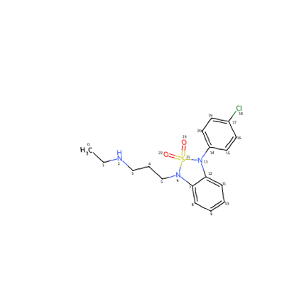 CCNCCCN1c2ccccc2N(c2ccc(Cl)cc2)S1(=O)=O